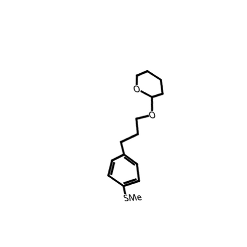 CSc1ccc(CCCOC2CCCCO2)cc1